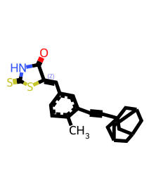 Cc1ccc(/C=C2\SC(=S)NC2=O)cc1C#CC12CC3CC(CC(C3)C1)C2